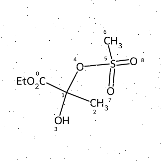 CCOC(=O)C(C)(O)OS(C)(=O)=O